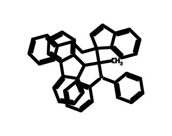 CC(C1c2ccccc2-c2ccccc21)(P(c1ccccc1)c1ccccc1)C1(CCc2ccccc2)C=Cc2ccccc21